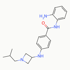 CC(C)CN1CC(Nc2ccc(C(=O)Nc3ccccc3N)cc2)C1